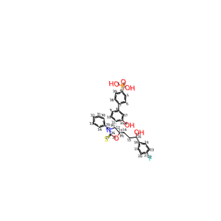 O=P(O)(O)c1ccc(-c2ccc([C@@H]3[C@@H](CCC(O)c4ccc(F)cc4)OC(=S)N3c3ccccc3)c(O)c2)cc1